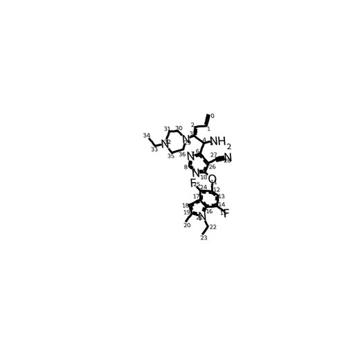 C=C/C=C(\C(N)c1ncnc(Oc2cc(F)c3c(cc(C)n3CC)c2F)c1C#N)N1CCN(CC)CC1